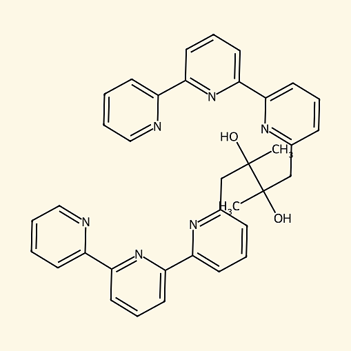 CC(O)(Cc1cccc(-c2cccc(-c3ccccn3)n2)n1)C(C)(O)Cc1cccc(-c2cccc(-c3ccccn3)n2)n1